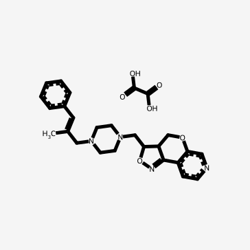 CC(=Cc1ccccc1)CN1CCN(CC2ON=C3c4ccncc4OCC32)CC1.O=C(O)C(=O)O